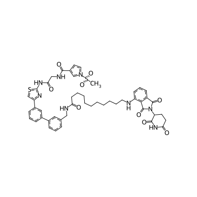 CS(=O)(=O)n1ccc(C(=O)NCC(=O)Nc2nc(-c3cccc(-c4cccc(CNC(=O)CCCCCCCCCCNc5cccc6c5C(=O)N(C5CCC(=O)NC5=O)C6=O)c4)c3)cs2)c1